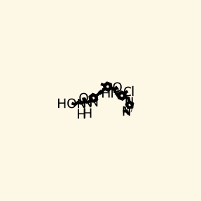 Cc1ccc(C(=O)Nc2ccc(CN3CC[C@H](N(C)C)C3)c(Cl)c2)cc1C#Cc1ccc(NC(=O)NCCO)nc1